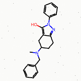 CN(Cc1ccccc1)C1CCc2nn(-c3ccccc3)c(O)c2C1